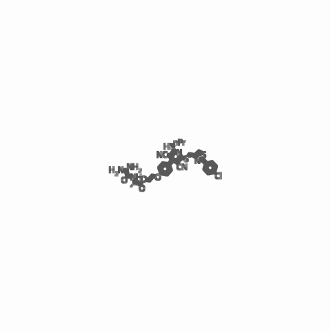 CCCNc1nc(SCc2csc(-c3ccc(Cl)cc3)n2)c(C#N)c(-c2ccc(OCCOC(=O)[C@H](C)NC(=O)C(N)N)cc2)c1C#N